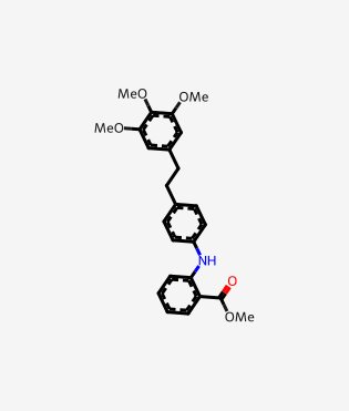 COC(=O)c1ccccc1Nc1ccc(CCc2cc(OC)c(OC)c(OC)c2)cc1